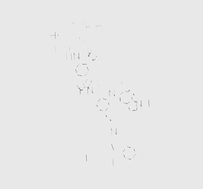 CSC1OC(CNc2ccc(S(=O)(=O)NC(=O)c3ccc(N4CCN(CC5=C(c6ccc(Cl)cc6)CC(C)(C)CC5)CC4)cc3N3CCCOc4nc5[nH]ccc5cc43)cc2[N+](=O)[O-])C(O)C(O)C1O